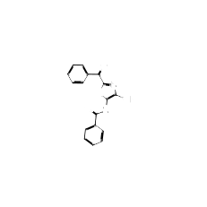 O=C(Nc1sc(C(=O)c2ccccc2)nc1C(F)(F)F)c1ccccc1